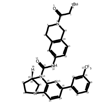 CC(C)(C)CC(=O)N1CCc2cc(NC(=O)N3c4nc(-c5cccc(C(F)(F)F)c5)ccc4N4CC[C@H]3C4)ccc2C1